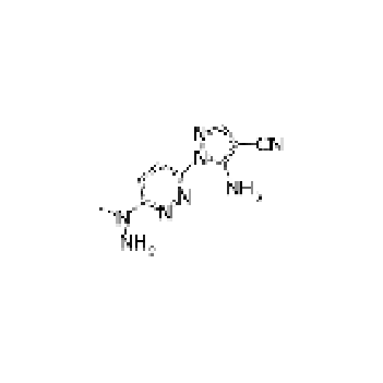 CN(N)c1ccc(-n2ncc(C#N)c2N)nn1